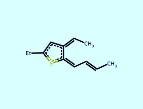 C/C=c1/cc(CC)s/c1=C/C=C/C